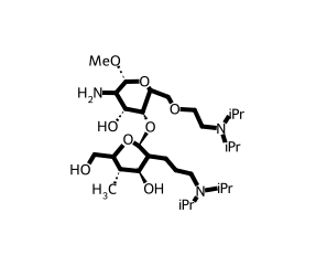 CO[C@@H]1OC(COCCN(C(C)C)C(C)C)[C@H](O[C@@H]2OC(CO)[C@@H](C)[C@H](O)C2CCCN(C(C)C)C(C)C)[C@H](O)C1N